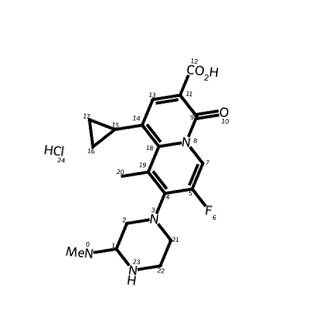 CNC1CN(c2c(F)cn3c(=O)c(C(=O)O)cc(C4CC4)c3c2C)CCN1.Cl